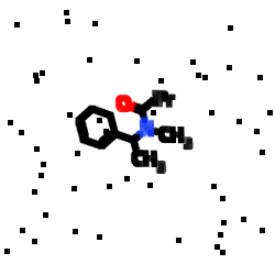 CC(C)C(=O)N(C)C(C)C1=CC=CCC1